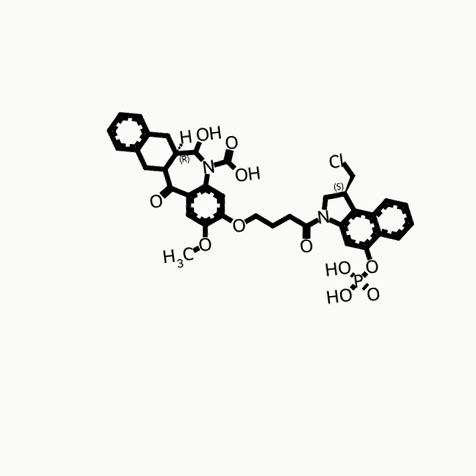 COc1cc2c(cc1OCCCC(=O)N1C[C@@H](CCl)c3c1cc(OP(=O)(O)O)c1ccccc31)N(C(=O)O)C(O)[C@@H]1Cc3ccccc3CC1C2=O